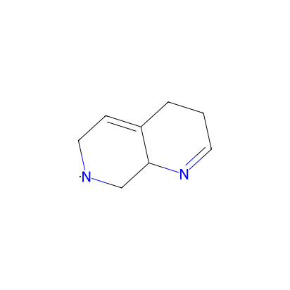 C1=NC2C[N]CC=C2CC1